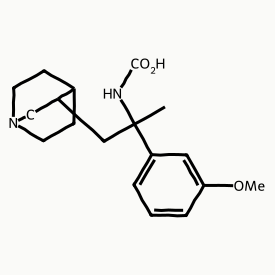 COc1cccc(C(C)(CC2CN3CCC2CC3)NC(=O)O)c1